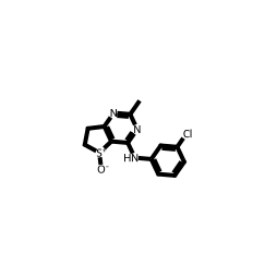 Cc1nc2c(c(Nc3cccc(Cl)c3)n1)[S+]([O-])CC2